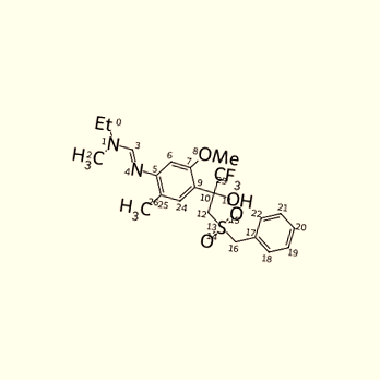 CCN(C)C=Nc1cc(OC)c(C(O)(CS(=O)(=O)Cc2ccccc2)C(F)(F)F)cc1C